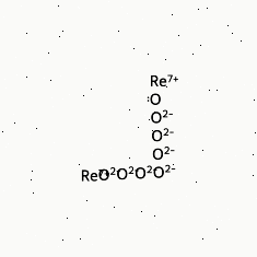 [O-2].[O-2].[O-2].[O-2].[O-2].[O-2].[O-2].[O].[Re+7].[Re+7]